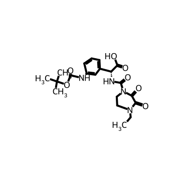 CCN1CCN(C(=O)N[C@@H](C(=O)O)c2cccc(NC(=O)OC(C)(C)C)c2)C(=O)C1=O